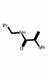 C=C(CCC)C(=O)NCC(C)C